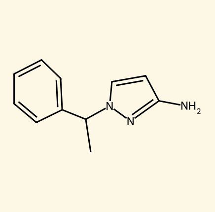 CC(c1ccccc1)n1ccc(N)n1